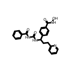 O=C(NC(=O)c1ccccc1)NC(CCc1ccccn1)c1ccc(C(=O)NO)cc1